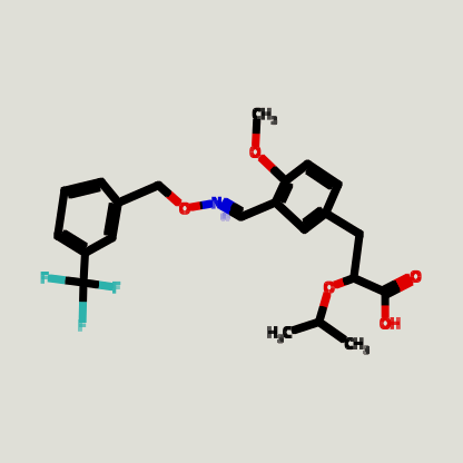 COc1ccc(CC(OC(C)C)C(=O)O)cc1/C=N/OCc1cccc(C(F)(F)F)c1